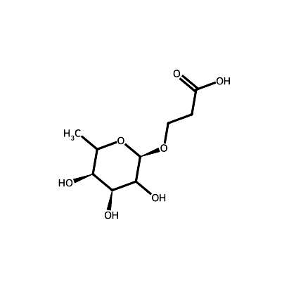 CC1O[C@@H](OCCC(=O)O)C(O)[C@@H](O)[C@H]1O